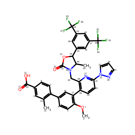 COc1ccc(-c2ccc(C(=O)O)cc2C)cc1-c1ccc(-n2cccn2)nc1CN1C(=O)OC(c2cc(C(F)(F)F)cc(C(F)(F)F)c2)C1C